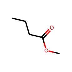 C[CH]CC(=O)OC